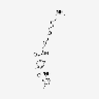 Cc1cnc(NC(=O)c2ccc(C(=O)NCCOCCOCCOCCN)cc2C)s1